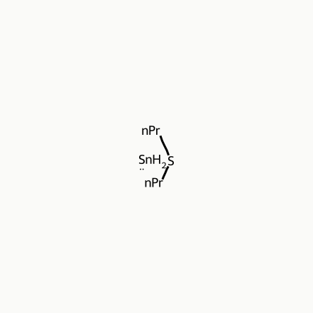 CCCSCCC.[SnH2]